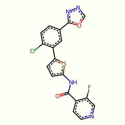 O=C(Nc1ccc(-c2cc(-c3nnco3)ccc2Cl)s1)c1ccncc1F